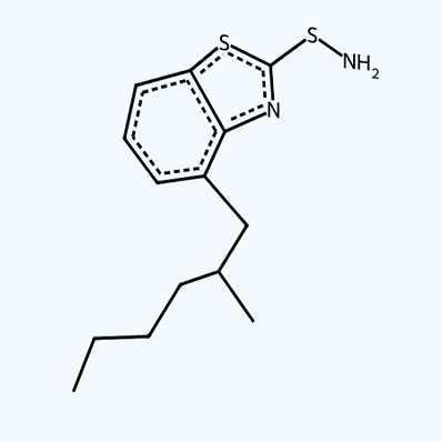 CCCCC(C)Cc1cccc2sc(SN)nc12